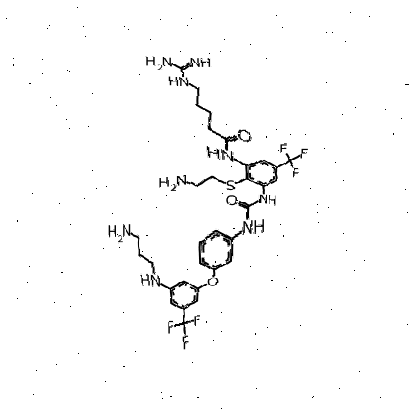 N=C(N)NCCCCC(=O)Nc1cc(C(F)(F)F)cc(NC(=O)Nc2cccc(Oc3cc(NCCCN)cc(C(F)(F)F)c3)c2)c1SCCN